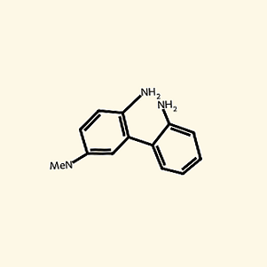 CNc1ccc(N)c(-c2ccccc2N)c1